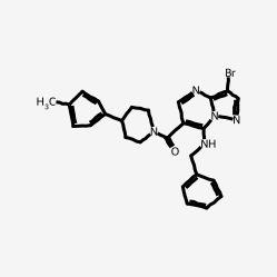 Cc1ccc(C2CCN(C(=O)c3cnc4c(Br)cnn4c3NCc3ccccc3)CC2)cc1